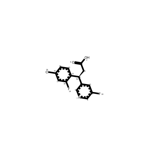 O=C(O)C[C@@H](c1cncc(F)c1)c1ccc(Cl)cc1F